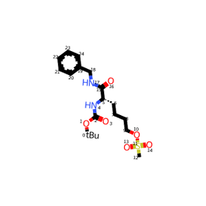 CC(C)(C)OC(=O)N[C@@H](CCCCOS(C)(=O)=O)C(=O)NCc1ccccc1